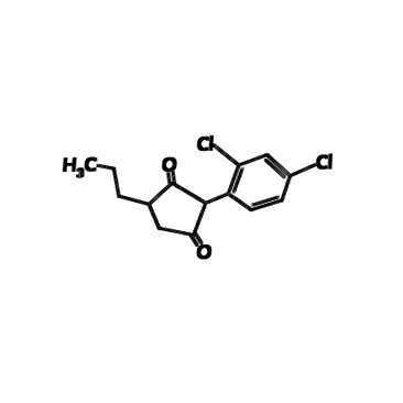 CCCC1CC(=O)C(c2ccc(Cl)cc2Cl)C1=O